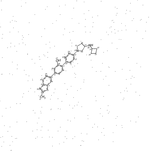 Cn1cc2cc(-c3ccc(-c4ccc(N5CCC(NC6CCC6)C5)nn4)c(O)c3)ncc2n1